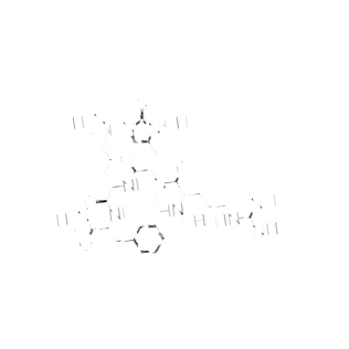 CNC(CCCNC(=N)N)C(=O)N[C@@H](Cc1c[nH]c(=S)n1C)C(=O)N[C@@H](CCCCN)C(=O)N[C@@H](Cc1ccccc1)C(N)=O